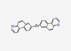 c1cnc2ccc3c[c]([Zn][c]4ccc5c(ccc6ncccc65)c4)ccc3c2c1